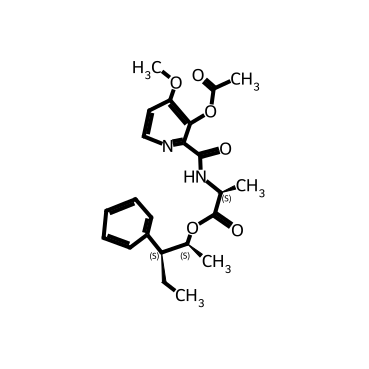 CC[C@@H](c1ccccc1)[C@H](C)OC(=O)[C@H](C)NC(=O)c1nccc(OC)c1OC(C)=O